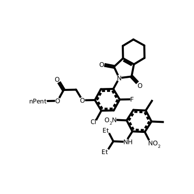 CCC(CC)Nc1c([N+](=O)[O-])cc(C)c(C)c1[N+](=O)[O-].CCCCCOC(=O)COc1cc(N2C(=O)C3=C(CCCC3)C2=O)c(F)cc1Cl